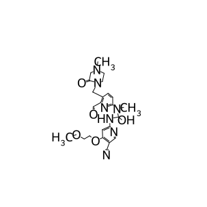 COCCOc1cc(NC(O)N(C)c2ccc(CN3CCN(C)CC3=O)c(C=O)n2)ncc1C#N